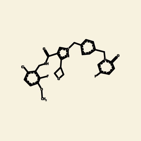 COc1ccc(Cl)c(CNC(=O)c2cn(Cc3ccc(Cn4cc(F)ccc4=O)cc3)nc2C2COC2)c1F